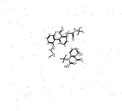 CC(C)(C)N(C(=O)O)c1ccnc(Cl)c1C=O.COCOc1cccc(F)c1-c1nccc(NC(=O)OC(C)(C)C)c1C=O